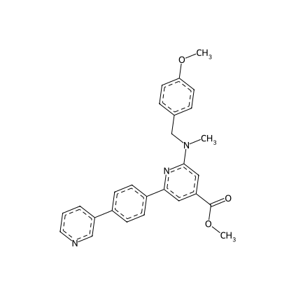 COC(=O)c1cc(-c2ccc(-c3cccnc3)cc2)nc(N(C)Cc2ccc(OC)cc2)c1